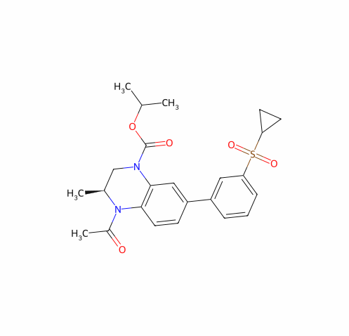 CC(=O)N1c2ccc(-c3cccc(S(=O)(=O)C4CC4)c3)cc2N(C(=O)OC(C)C)C[C@@H]1C